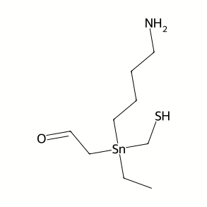 C[CH2][Sn]([CH2]S)([CH2]C=O)[CH2]CCCN